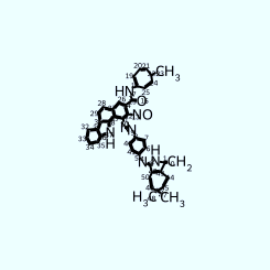 C=C1N/C(=N\c2ccc(/N=N/c3c(N=O)c(C(=O)NC4=CC=CC(C)C=C4)cc4ccc5c6ccccc6[nH]c5c34)cc2)C2=C1C=CC(C)(C)C=C2